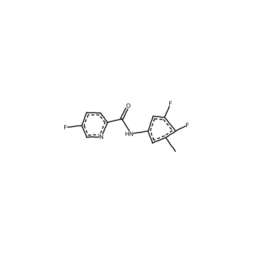 Cc1cc(NC(=O)c2ccc(F)cn2)cc(F)c1F